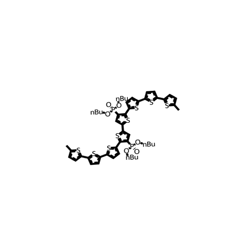 CCCCOP(=O)(OCCCC)c1cc(-c2cc(P(=O)(OCCCC)OCCCC)c(-c3ccc(-c4ccc(-c5ccc(C)s5)s4)s3)s2)sc1-c1ccc(-c2ccc(-c3ccc(C)s3)s2)s1